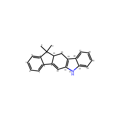 CC1(C)c2ccccc2C2=Cc3[nH]c4ccccc4c3CC21